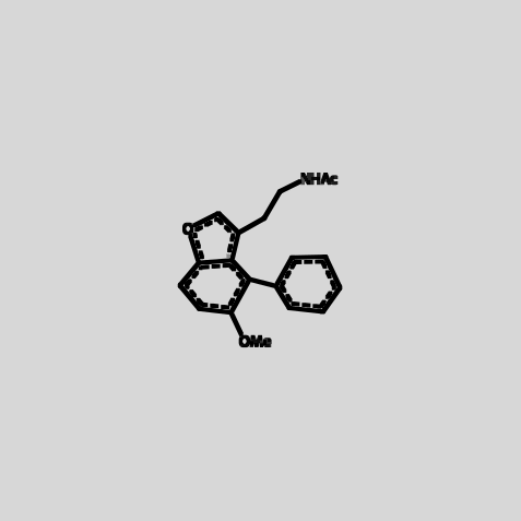 COc1ccc2occ(CCNC(C)=O)c2c1-c1ccccc1